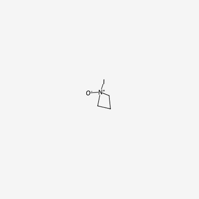 [O-][N+]1(I)CCC1